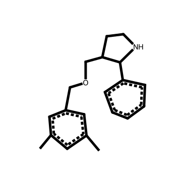 Cc1cc(C)cc(COCC2CCNC2c2ccccc2)c1